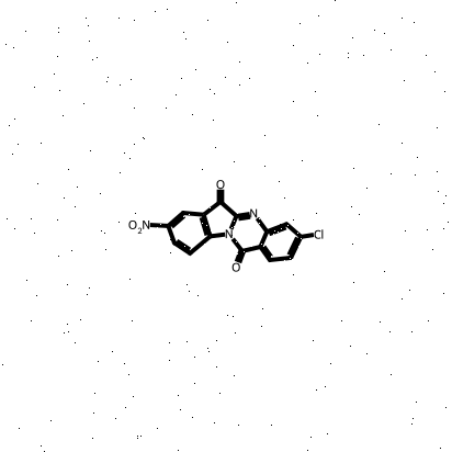 O=C1c2cc([N+](=O)[O-])ccc2-n2c1nc1cc(Cl)ccc1c2=O